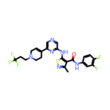 Cc1nsc(Nc2cncc(C3=CCN(CCC(F)(F)F)CC3)n2)c1C(=O)Nc1ccc(F)c(F)c1